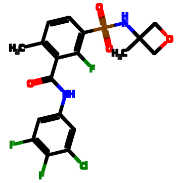 Cc1ccc(S(=O)(=O)NC2(C)COC2)c(F)c1C(=O)Nc1cc(F)c(F)c(Cl)c1